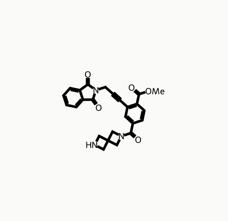 COC(=O)c1ccc(C(=O)N2CC3(CNC3)C2)cc1C#CCN1C(=O)c2ccccc2C1=O